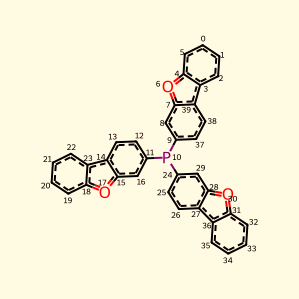 c1ccc2c(c1)oc1cc(P(c3ccc4c(c3)oc3ccccc34)c3ccc4c(c3)oc3ccccc34)ccc12